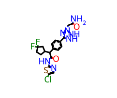 NC(=O)CN1N=C(c2ccc(C(C(=O)Nc3ncc(Cl)s3)C3CCC(F)(F)C3)cc2)NN1